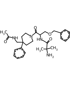 CC(=O)NCC1(c2ccccc2)CCN(C(=O)C(COCc2ccccc2)NC(=O)C(C)(C)N)CC1